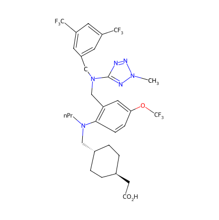 CCCN(C[C@H]1CC[C@H](CC(=O)O)CC1)c1ccc(OC(F)(F)F)cc1CN(Cc1cc(C(F)(F)F)cc(C(F)(F)F)c1)c1nnn(C)n1